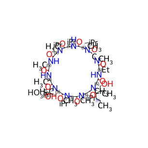 C/C=C/CC(C)C(O)[C@H]1C(=O)N[C@@H](CC)C(=O)N(C)CC(=O)N(C)[C@@H](CC(C)C)C(=O)N[C@@H](C(C)C)C(=O)N(C)[C@@H](CC(C)C)C(=O)N[C@@H](C)C(=O)N[C@H](C)C(=O)N(C)[C@@H](CC(C)C)C(=O)N(C)[C@@H](CC(C)C)C(=O)N(C)[C@@H](C(C)C)C(=O)N1C.O=S(=O)(O)O